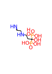 N=CCNCCC(O)(P(=O)(O)O)P(=O)(O)O